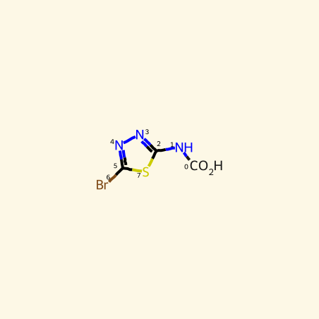 O=C(O)Nc1nnc(Br)s1